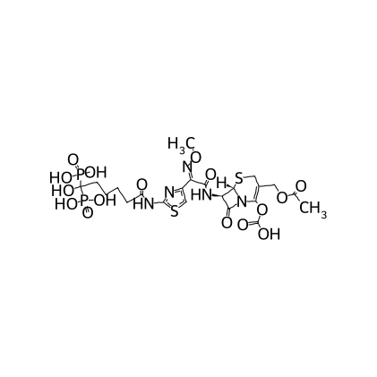 CO/N=C(\C(=O)N[C@@H]1C(=O)N2C(OC(=O)O)=C(COC(C)=O)CS[C@@H]12)c1csc(NC(=O)CCCCC(O)(P(=O)(O)O)P(=O)(O)O)n1